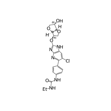 CCNC(=O)Nc1ccc(-c2nc3nc(O[C@@H]4CO[C@H]5[C@@H]4OC[C@H]5O)[nH]c3cc2Cl)cc1